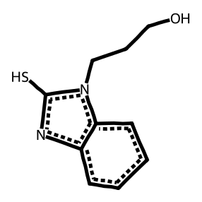 OCCCn1c(S)nc2ccccc21